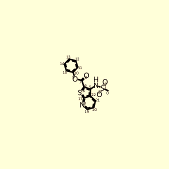 CS(=O)(=O)Nc1c(C(=O)Oc2ccccc2)sc2ncccc12